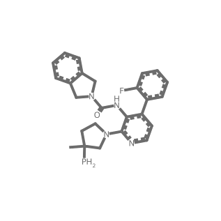 CC1(P)CCN(c2nccc(-c3ccccc3F)c2NC(=O)N2Cc3ccccc3C2)C1